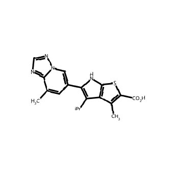 Cc1c(C(=O)O)sc2[nH]c(-c3cc(C)c4ncnn4c3)c(C(C)C)c12